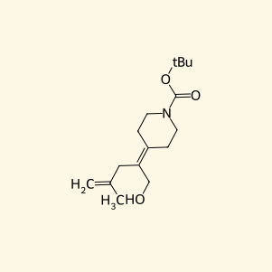 C=C(C)CC(CO)=C1CCN(C(=O)OC(C)(C)C)CC1